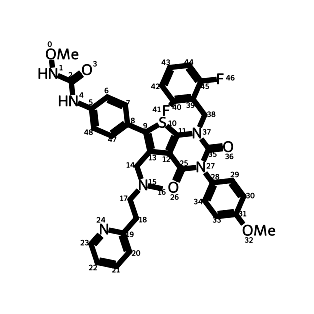 CONC(=O)Nc1ccc(-c2sc3c(c2CN(C)CCc2ccccn2)c(=O)n(-c2ccc(OC)cc2)c(=O)n3Cc2c(F)cccc2F)cc1